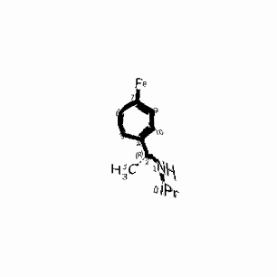 CC(C)N[C@H](C)c1ccc(F)cc1